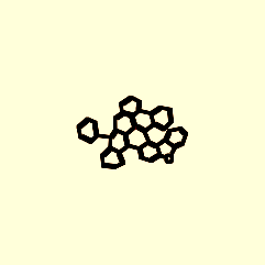 c1ccc(-c2c3ccccc3c(-c3ccc4oc5ccccc5c4c3-c3cc4ccccc4c4ccccc34)c3ccccc23)cc1